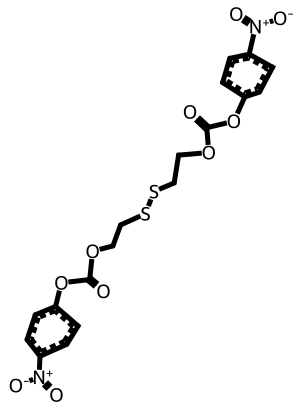 O=C(OCCSSCCOC(=O)Oc1ccc([N+](=O)[O-])cc1)Oc1ccc([N+](=O)[O-])cc1